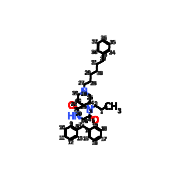 CCCN1C(=O)[C@H](C(c2ccccc2)c2ccccc2)NC(=O)C12CCN(CCCCCCc1ccccc1)CC2